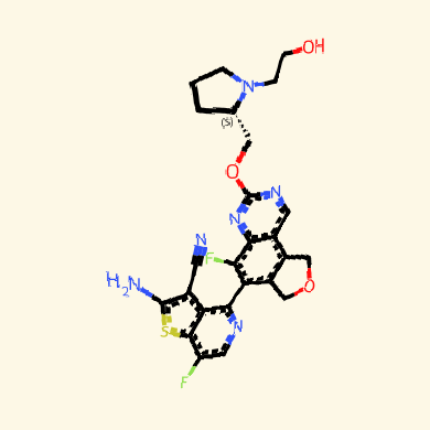 N#Cc1c(N)sc2c(F)cnc(-c3c4c(c5cnc(OC[C@@H]6CCCN6CCO)nc5c3F)COC4)c12